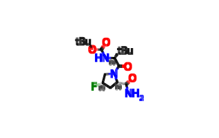 CC(C)(C)OC(=O)N[C@H](C(=O)N1C[C@@H](F)C[C@H]1C(N)=O)C(C)(C)C